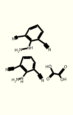 N#Cc1cccc(C#N)c1NN.N#Cc1cccc(C#N)c1NN.O=C(O)C(=O)O